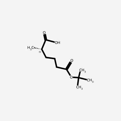 C[C@@H](CCCC(=O)OC(C)(C)C)C(=O)O